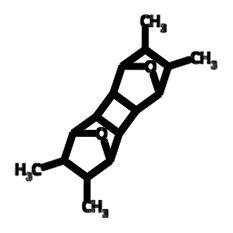 CC1C(C)C2OC1C1C2C2C3OC(C(C)C3C)C12